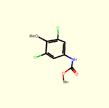 COc1c(Cl)cc(NC(=O)OC(C)(C)C)cc1Cl